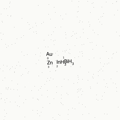 [Au].[BiH3].[InH3].[Zn]